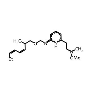 CC/C=C\C=C/C(C)COC/N=c1\cccc(CCN(C)OC)[nH]1